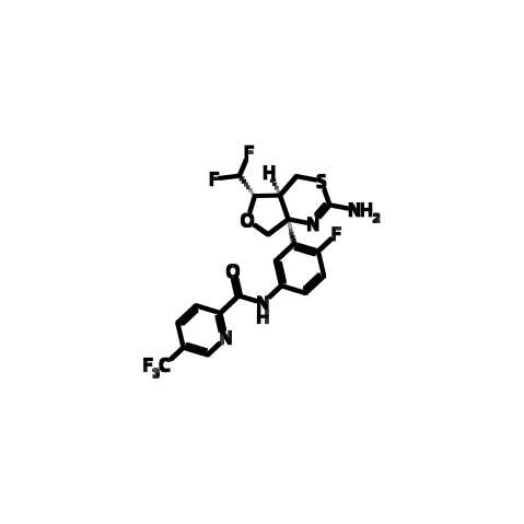 NC1=N[C@@]2(c3cc(NC(=O)c4ccc(C(F)(F)F)cn4)ccc3F)CO[C@H](C(F)F)[C@H]2CS1